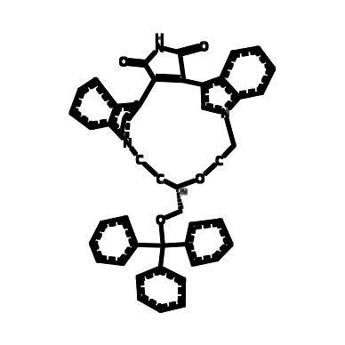 O=C1NC(=O)C2=C1c1cn(c3ccccc13)CCO[C@H](COC(c1ccccc1)(c1ccccc1)c1ccccc1)CCn1cc2c2ccccc21